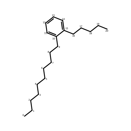 CCCCCCCCCCc1ccccc1CCCCC